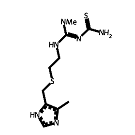 CNC(=NC(N)=S)NCCSCc1[nH]cnc1C